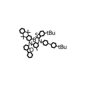 Cc1cc2c3c(c1)N(c1cccc4c1oc1ccccc14)c1cc4c(cc1B3c1sc3ccc(C(C)(C)C)cc3c1N2c1ccc(-c2ccc(C(C)(C)C)cc2)cc1)C(C)(C)c1ccccc1C4(C)C